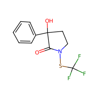 O=C1N(SC(F)(F)F)CCC1(O)c1ccccc1